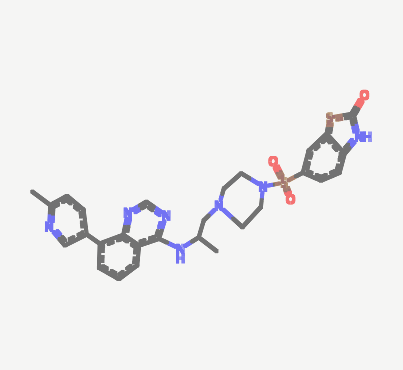 Cc1ccc(-c2cccc3c(NC(C)CN4CCN(S(=O)(=O)c5ccc6[nH]c(=O)sc6c5)CC4)ncnc23)cn1